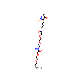 CCC(=O)[C@H](CCCCNC(=O)COCCOCCNC(=O)COCCOCCNC(C)=O)NP